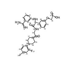 N=C(N)c1cccc(NC(C(=O)NCC(=O)N2CCN(c3ccc(F)cc3F)CC2)c2cccc(OCC(=O)O)c2)c1